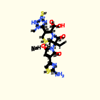 CCC1(N2C(=O)C=C(c3csc(N)n3)C2=O)C(=O)N2C(C(=O)O)=C(c3n[n+](=S)[nH]n3C)CS[C@H]21.[NaH]